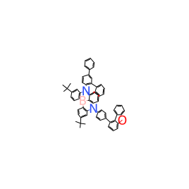 CC(C)(C)c1ccc2c(c1)N(c1ccc(-c3cccc4oc5ccccc5c34)cc1)c1cccc3c1B2c1ccc(C(C)(C)C)cc1N3c1ccc(-c2ccccc2)cc1-c1ccccc1